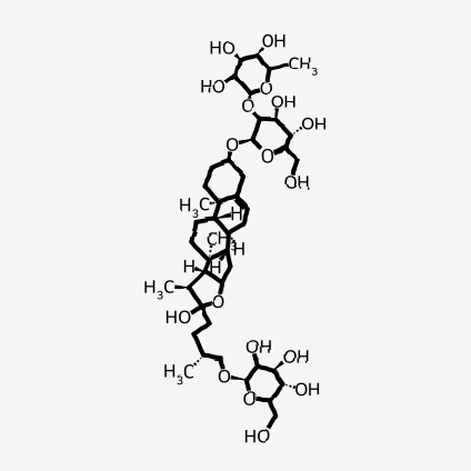 CC1O[C@@H](OC2[C@H](OC3CC[C@@]4(C)C(=CC[C@H]5[C@@H]6CC7OC(O)(CC[C@@H](C)CO[C@@H]8OC(CO)[C@@H](O)[C@H](O)C8O)[C@@H](C)[C@@H]7[C@@]6(C)CC[C@@H]54)C3)OC(CO)[C@@H](O)[C@@H]2O)C(O)[C@@H](O)[C@H]1O